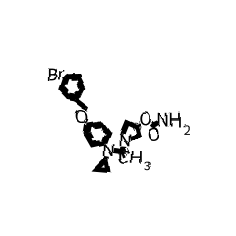 C[C@H](N1CC[C@@H](OC(N)=O)C1)N(c1ccc(OCc2ccc(Br)cc2)cc1)C1CC1